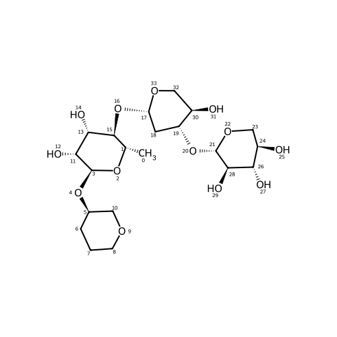 C[C@@H]1O[C@@H](O[C@@H]2CCCOC2)[C@H](O)[C@H](O)[C@H]1O[C@H]1C[C@@H](O[C@@H]2OC[C@@H](O)[C@H](O)[C@H]2O)[C@H](O)CO1